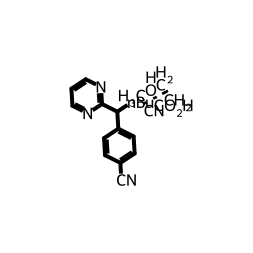 C=C.CC#N.CCCCC(c1ccc(C#N)cc1)c1ncccn1.O=C(O)O